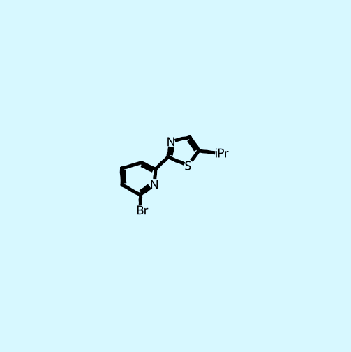 CC(C)c1cnc(-c2cccc(Br)n2)s1